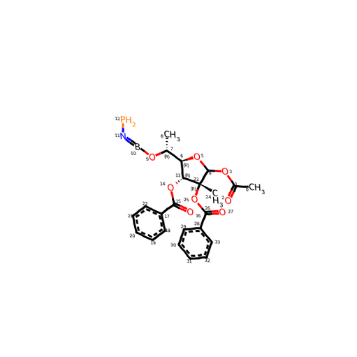 CC(=O)OC1O[C@H]([C@@H](C)OB=NP)[C@@H](OC(=O)c2ccccc2)[C@@]1(C)OC(=O)c1ccccc1